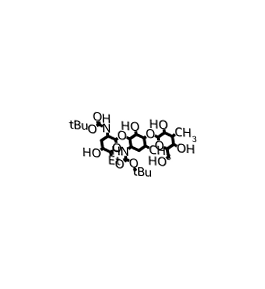 CCC1OC(OC2C(NC(=O)OC(C)(C)C)CC(C)C(OC3OC(CO)C(O)C(C)C3O)C2O)C(NC(=O)OC(C)(C)C)CC1O